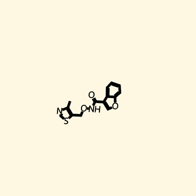 Cc1ncsc1CONC(=O)c1coc2ccccc12